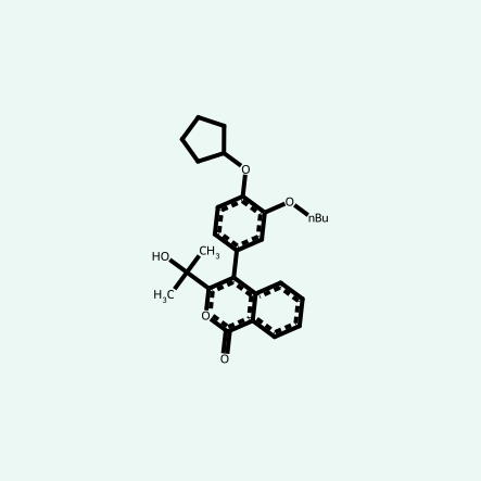 CCCCOc1cc(-c2c(C(C)(C)O)oc(=O)c3ccccc23)ccc1OC1CCCC1